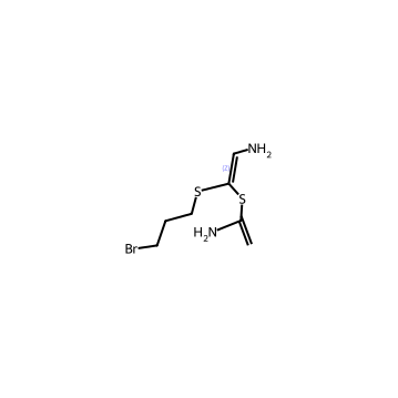 C=C(N)S/C(=C\N)SCCCBr